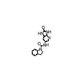 O=C(Nc1cnc2[nH]c(=O)[nH]c2c1)N1CCc2ccccc21